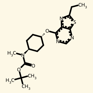 CCc1nc2c(O[C@H]3CC[C@H](N(C)C(=O)OC(C)(C)C)CC3)ncnc2s1